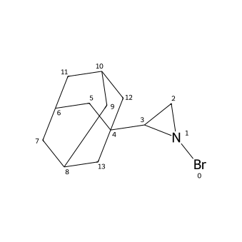 BrN1CC1C12CC3CC(CC(C3)C1)C2